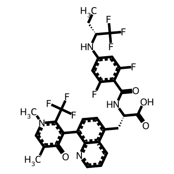 CC[C@@H](Nc1cc(F)c(C(=O)N[C@@H](Cc2ccc(-c3c(C(F)(F)F)n(C)cc(C)c3=O)c3ncccc23)C(=O)O)c(F)c1)C(F)(F)F